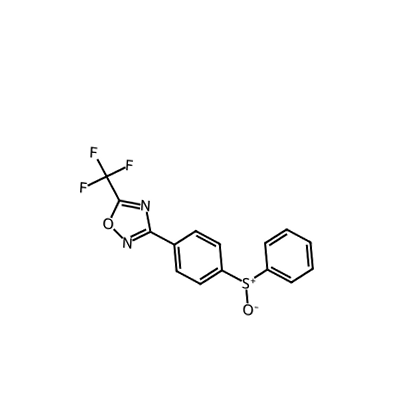 [O-][S+](c1ccccc1)c1ccc(-c2noc(C(F)(F)F)n2)cc1